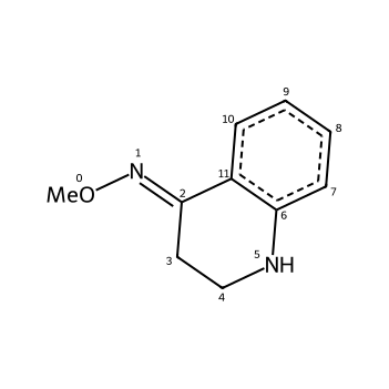 CO/N=C1\CCNc2ccccc21